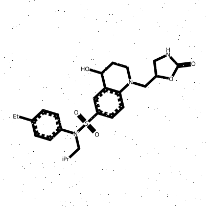 CCc1ccc(N(CC(C)C)S(=O)(=O)c2ccc3c(c2)C(O)CCN3CC2CNC(=O)O2)cc1